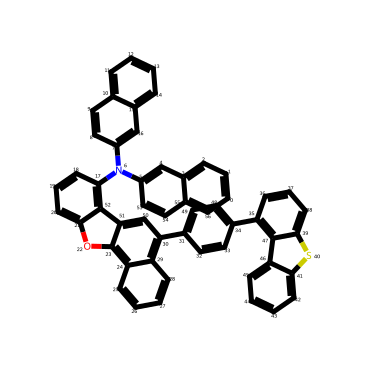 c1ccc2cc(N(c3ccc4ccccc4c3)c3cccc4oc5c6ccccc6c(-c6ccc(-c7cccc8sc9ccccc9c78)cc6)cc5c34)ccc2c1